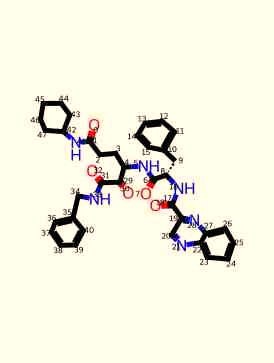 O=C(CCC(NC(=O)[C@H](Cc1ccccc1)NC(=O)c1cnc2ccccc2n1)C(=O)C(=O)NCc1ccccc1)NC1CCCCC1